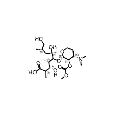 COC(=O)O[C@H]1[C@H](OC([C@@H](C)[C@H](O)[C@@H](C)C(=O)O)[C@](C)(O)C[C@@H](C)CO)OCC[C@@H]1N(C)C